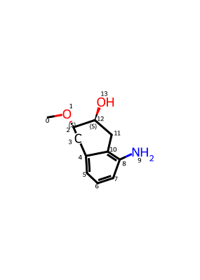 CO[C@H]1Cc2cccc(N)c2C[C@@H]1O